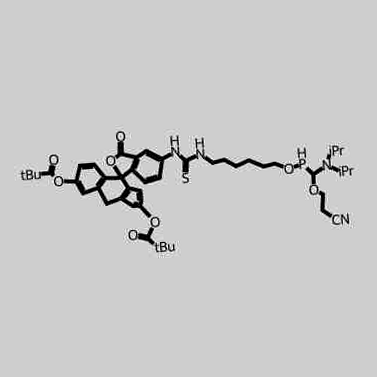 CC(C)N(C(C)C)C(OCCC#N)POCCCCCCNC(=S)Nc1ccc2c(c1)C(=O)OC21c2ccc(OC(=O)C(C)(C)C)cc2Cc2cc(OC(=O)C(C)(C)C)ccc21